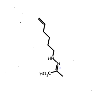 C=CCCCCN/N=C(/C)C(=O)O